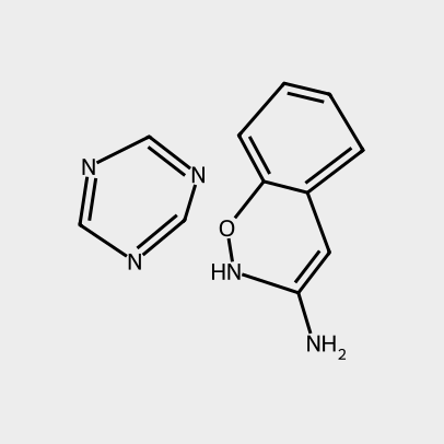 NC1=Cc2ccccc2ON1.c1ncncn1